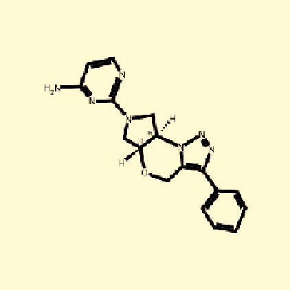 Nc1ccnc(N2C[C@@H]3[C@@H](C2)OCc2c(-c4ccccc4)nnn23)n1